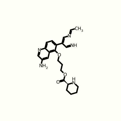 C/C=N/C=C(\C=N)c1ccc2ncc(N)cc2c1OCCCOC(=O)[C@@H]1CCCCN1